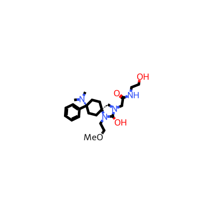 COCCN1C(O)N(CC(=O)NCCO)C[C@]12CC[C@](c1ccccc1)(N(C)C)CC2